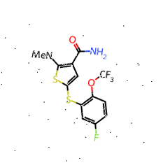 CNc1sc(Sc2cc(F)ccc2OC(F)(F)F)cc1C(N)=O